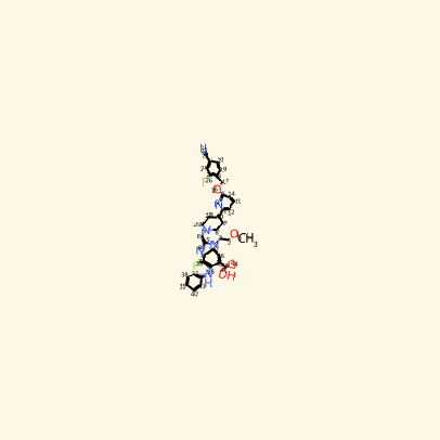 COCCn1c(CN2CCC(c3cccc(OCc4ccc(C#N)cc4F)n3)CC2)nc2c(F)c(Nc3ccccc3)c(C(=O)O)cc21